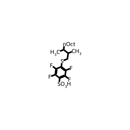 CCCCCCCCC(C)C(C)CSc1c(F)c(F)c(S(=O)(=O)O)c(F)c1F